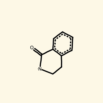 O=C1[N]CCc2ccccc21